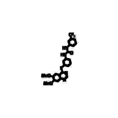 COc1cc2ncnc(Sc3cccc(NC(=O)Nc4cccc(C(F)(F)F)c4)c3)c2cc1OC